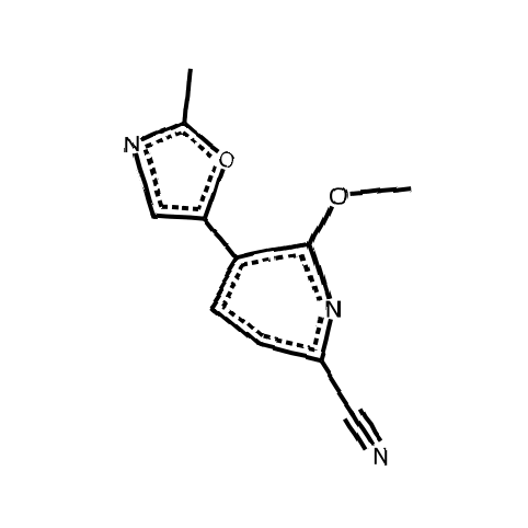 COc1nc(C#N)ccc1-c1cnc(C)o1